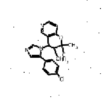 CC1(C)Oc2ccncc2C(n2cncc2-c2ccc(Cl)cc2)C1O